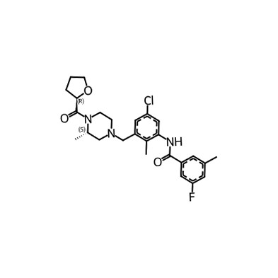 Cc1cc(F)cc(C(=O)Nc2cc(Cl)cc(CN3CCN(C(=O)[C@H]4CCCO4)[C@@H](C)C3)c2C)c1